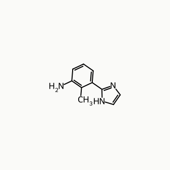 Cc1c(N)cccc1-c1ncc[nH]1